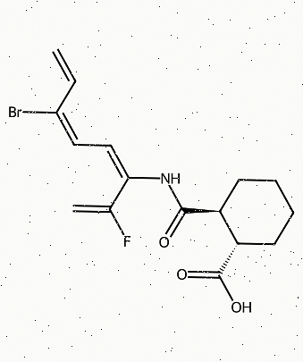 C=C/C(Br)=C\C=C(\NC(=O)[C@H]1CCCC[C@@H]1C(=O)O)C(=C)F